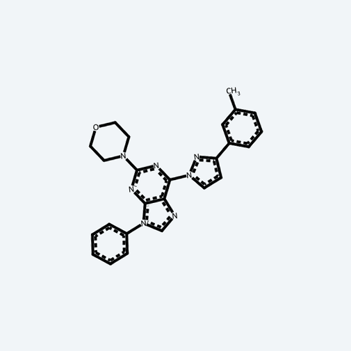 Cc1cccc(-c2ccn(-c3nc(N4CCOCC4)nc4c3ncn4-c3ccccc3)n2)c1